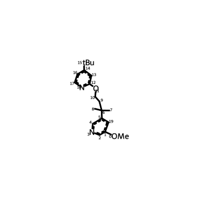 COc1cncc(C(C)(C)CCOc2cc(C(C)(C)C)ccn2)c1